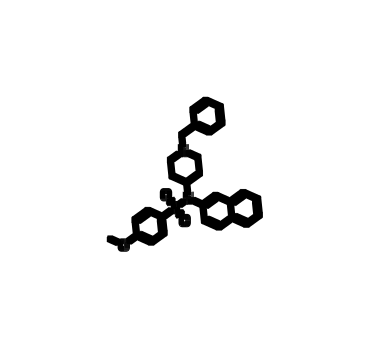 COc1ccc(S(=O)(=O)N(c2ccc3ccccc3c2)C2CCN(Cc3ccccc3)CC2)cc1